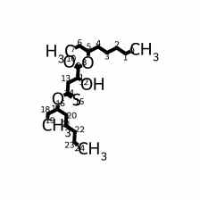 CCCCCC(CC)OC(=O)C(O)CC(=S)OC(CC)CCCCC